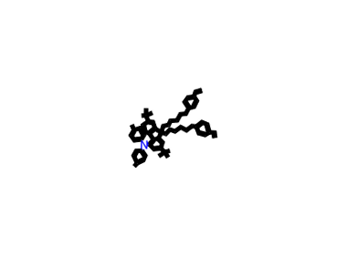 C=Cc1ccc(CCCCCCC2(CCCCCCc3ccc(C=C)cc3)c3cc(C(C)(C)C)ccc3-c3c(N(c4ccc(C)cc4)c4ccc(C)cc4)cc(C(C)(C)C)cc32)cc1